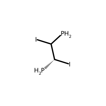 PC(I)[C@@H](P)I